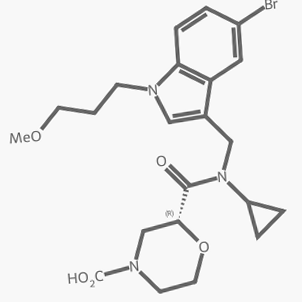 COCCCn1cc(CN(C(=O)[C@H]2CN(C(=O)O)CCO2)C2CC2)c2cc(Br)ccc21